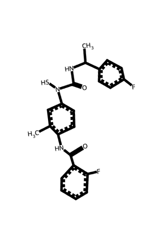 Cc1cc(N(S)C(=O)NC(C)c2ccc(F)cc2)ccc1NC(=O)c1ccccc1F